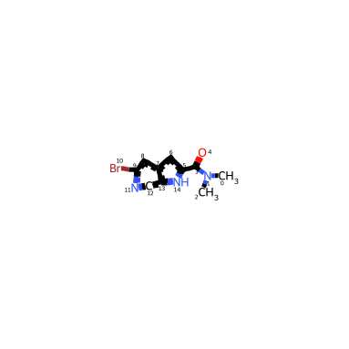 CN(C)C(=O)c1cc2cc(Br)ncc2[nH]1